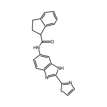 O=C(Nc1ccc2nc(-c3nccs3)[nH]c2c1)C1CCc2ccccc21